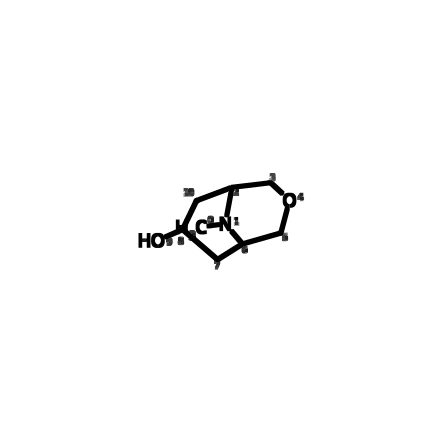 CN1C2COCC1CC(O)C2